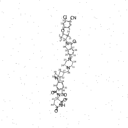 CC1(C)C(Oc2ccc(C#N)c(Cl)c2)C(C)(C)C1N1Cc2cc(N3CCN(CC4CC5(CCN5c5ccc6c(c5)C(=O)N(C5CCC(=O)NC5=O)C6=O)C4)CC3)ccc2C1=O